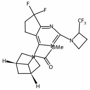 COC(=O)CC1[C@@H]2C[C@H]1CN(c1nc(N3CCC3C(F)(F)F)nc3c1CCC3(F)F)C2